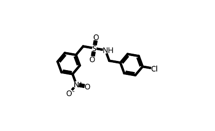 O=[N+]([O-])c1cccc(CS(=O)(=O)NCc2ccc(Cl)cc2)c1